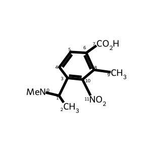 CNC(C)c1ccc(C(=O)O)c(C)c1[N+](=O)[O-]